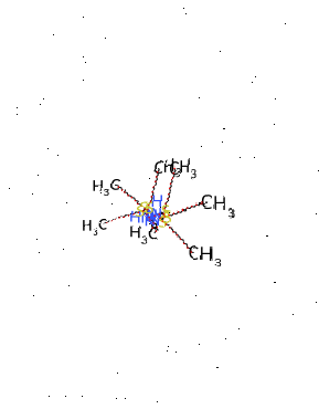 CCCCCCCCCCCCCCCCCSc1cc(Nc2nc(Nc3cc(SCCCCCCCCCCCCCCCCC)c(SCCCCCCCCCCCCCCCCC)c(SCCCCCCCCCCCCCCCCC)c3)nc(-c3ccc(CC)cc3)n2)cc(SCCCCCCCCCCCCCCCCC)c1SCCCCCCCCCCCCCCCCC